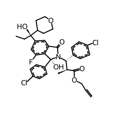 C=CCOC(=O)[C@@H](C)[C@@H](c1ccc(Cl)cc1)N1C(=O)c2cc([C@](O)(CC)C3CCOCC3)cc(F)c2[C@]1(O)c1ccc(Cl)cc1